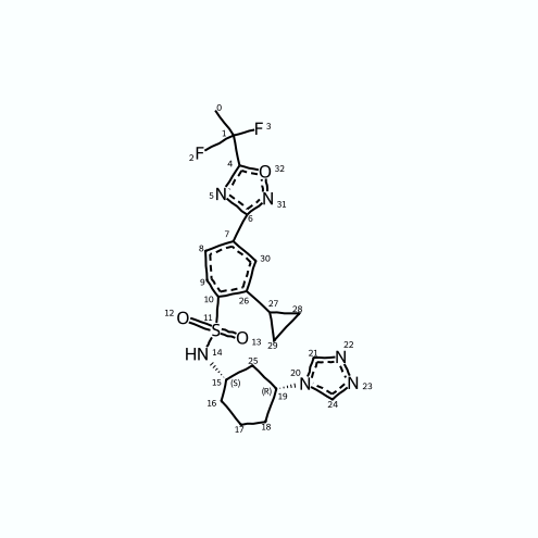 CC(F)(F)c1nc(-c2ccc(S(=O)(=O)N[C@H]3CCC[C@@H](n4cnnc4)C3)c(C3CC3)c2)no1